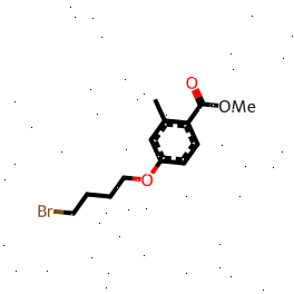 COC(=O)c1ccc(OCCCCBr)cc1C